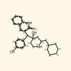 O=c1[nH]c2ccccc2cc1C(c1ccc(Cl)cc1)C1(O)CCNC(CC2CCCCC2)C1